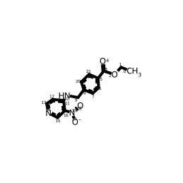 CCOC(=O)c1ccc(CNc2ccncc2[N+](=O)[O-])cc1